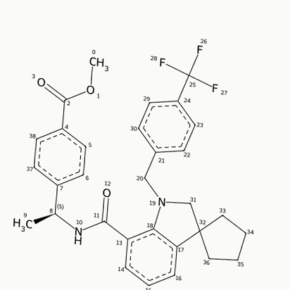 COC(=O)c1ccc([C@H](C)NC(=O)c2cccc3c2N(Cc2ccc(C(F)(F)F)cc2)CC32CCCC2)cc1